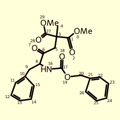 COC(=O)C(C)(CC(=O)C(Cc1ccccc1)NC(=O)OCc1ccccc1)C(=O)OC